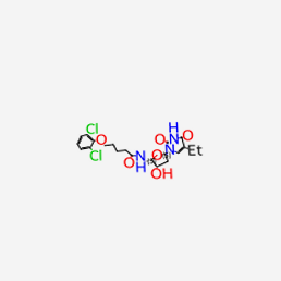 CCc1cn([C@@H]2CC(O)[C@H](CNC(=O)CCCCOc3c(Cl)cccc3Cl)O2)c(=O)[nH]c1=O